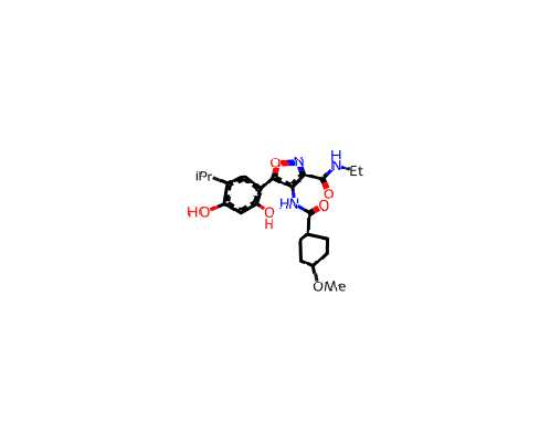 CCNC(=O)c1noc(-c2cc(C(C)C)c(O)cc2O)c1NC(=O)C1CCC(OC)CC1